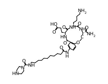 NCCCC[C@@H]1NC(=O)[C@H](CCC(=O)O)NC(=O)c2cc(NC(=O)CCCCCCCCCCNC(=O)N3CCNCC3)ccc2OCC[C@@H](C(N)=O)NC1=O